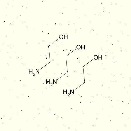 NCCO.NCCO.NCCO